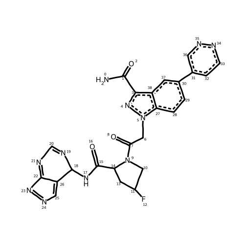 NC(=O)c1nn(CC(=O)N2CC(F)CC2C(=O)NC2N=CN=C3N=NC=C32)c2ccc(-c3ccnnc3)cc12